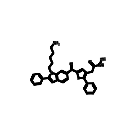 NCCCCCn1c(-c2ccccc2)cc2ccc(C(=O)c3cc(CC(=O)NO)c(-c4ccccc4)s3)cc21